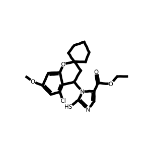 CCOC(=O)c1cnc(S)n1C1CC2(CCCCC2)Oc2cc(OC)cc(Cl)c21